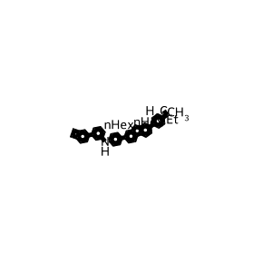 CCCCCCC1(CCCCCC)c2cc(-c3ccc(Nc4cccc(-c5ccc6c(c5)CC6)c4)cc3)ccc2-c2ccc(-c3ccc(C(C)(C)CC)cc3)cc21